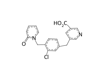 O=C(O)c1cncc(Cc2ccc(Cn3ccccc3=O)c(Cl)c2)c1